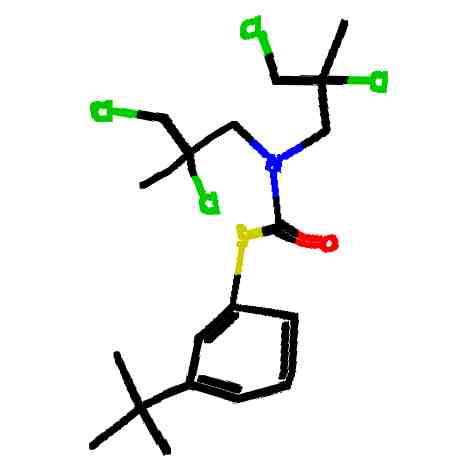 CC(Cl)(CCl)CN(CC(C)(Cl)CCl)C(=O)Sc1cccc(C(C)(C)C)c1